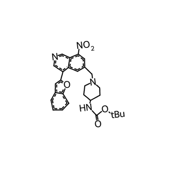 CC(C)(C)OC(=O)NC1CCN(Cc2cc([N+](=O)[O-])c3cncc(-c4cc5ccccc5o4)c3c2)CC1